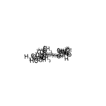 COc1cc(/C=C\c2cc(OC)c(OCCCCCCCCCOc3ccc(C4NC(=O)c5ccccc5N4)cc3CO)c(OC)c2)cc(CO)c1CO